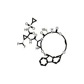 CC(C)(C)[C@@H]1NC(=O)OC/C=C\COc2ccc3c(c2)/C(=N/O[C@@H]2C[C@@H](C(=O)N[C@]4(C(=O)NS(=O)(=O)C5CC5)C[C@H]4C(F)F)N(C2)C1=O)c1ccccc1-3